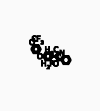 Cc1nc2c(c(OP)c1-c1ccc(Oc3ccc(OC(F)(F)F)cc3)cc1)CCCC2